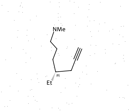 C#CC[C@H](CC)CCCNC